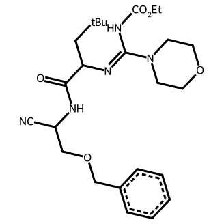 CCOC(=O)NC(=NC(CC(C)(C)C)C(=O)NC(C#N)COCc1ccccc1)N1CCOCC1